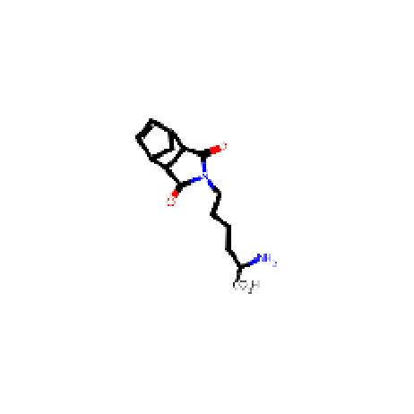 NC(CCCCN1C(=O)C2C3C=CC(C3)C2C1=O)C(=O)O